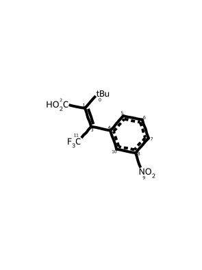 CC(C)(C)/C(C(=O)O)=C(\c1cccc([N+](=O)[O-])c1)C(F)(F)F